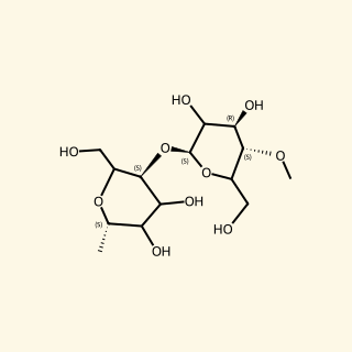 CO[C@@H]1C(CO)O[C@@H](O[C@@H]2C(CO)O[C@@H](C)C(O)C2O)C(O)[C@H]1O